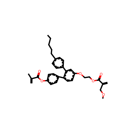 C=C(C)C(=O)Oc1ccc(-c2ccc(OCCOC(=O)C(=C)COC)cc2-c2ccc(CCCCC)cc2)cc1